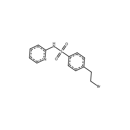 O=S(=O)(Nc1ccccn1)c1ccc(CCBr)cc1